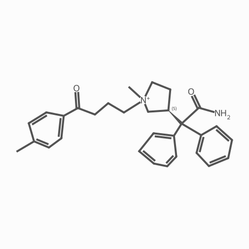 Cc1ccc(C(=O)CCC[N+]2(C)CC[C@@H](C(C(N)=O)(c3ccccc3)c3ccccc3)C2)cc1